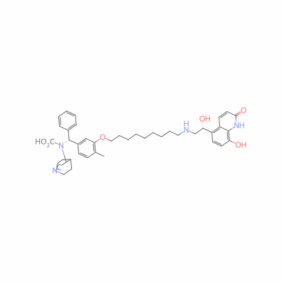 Cc1ccc([C@@H](c2ccccc2)N(C(=O)O)C2CN3CCC2CC3)cc1OCCCCCCCCCNC[C@H](O)c1ccc(O)c2[nH]c(=O)ccc12